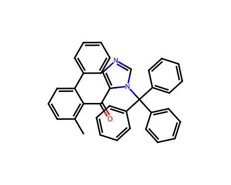 Cc1cccc(-c2ccccc2)c1C(=O)c1cncn1C(c1ccccc1)(c1ccccc1)c1ccccc1